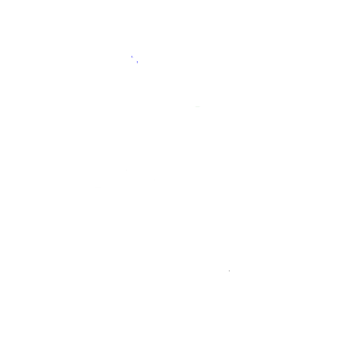 Cc1cc(-c2cc(F)c(C#N)cc2F)cc(C(F)(F)F)c1